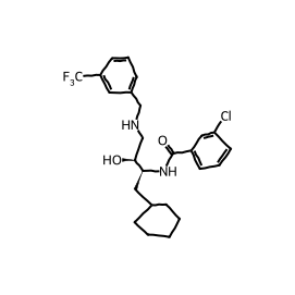 O=C(N[C@@H](CC1CCCCC1)[C@@H](O)CNCc1cccc(C(F)(F)F)c1)c1cccc(Cl)c1